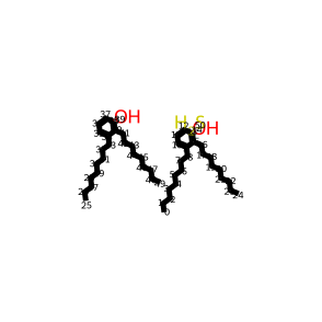 CCCCCCCCCc1cccc(O)c1CCCCCCCCC.CCCCCCCCCc1cccc(O)c1CCCCCCCCC.S